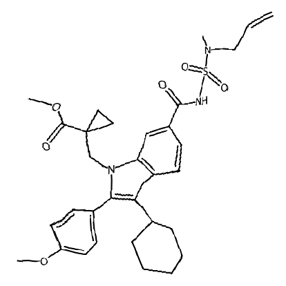 C=CCN(C)S(=O)(=O)NC(=O)c1ccc2c(C3CCCCC3)c(-c3ccc(OC)cc3)n(CC3(C(=O)OC)CC3)c2c1